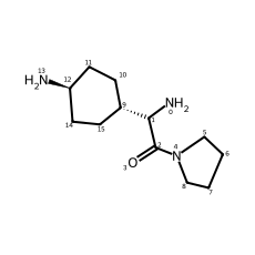 NC(C(=O)N1CCCC1)[C@H]1CC[C@H](N)CC1